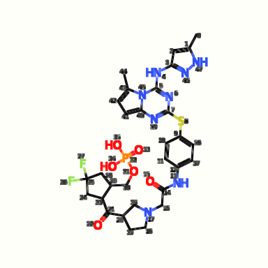 Cc1cc(Nc2nc(Sc3ccc(NC(=O)CN4CCC(C(=O)C5CC(F)(F)CC5COP(=O)(O)O)C4)cc3)nc3ccc(C)n23)n[nH]1